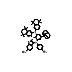 CC(C)(C)c1ccc(N2c3cc(C45CC6CC(CC(C6)C4)C5)cc4c3B(c3cc5c(cc3N4c3ccc4c(c3)C(C)(C)CCC4(C)C)C(C)(C)CCC5(C)C)c3sc4cc(C(C)(C)C)ccc4c32)cc1